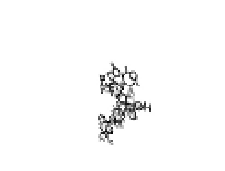 COC1COCCC1N(C(=O)C(F)(F)F)C1CCC(C(=O)N2CC3CC2CN3C(=O)OC(C)(C)C)(C(C)(C)O)C1